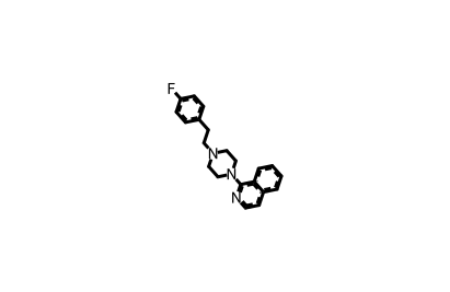 Fc1ccc(CCN2CCN(c3nccc4ccccc34)CC2)cc1